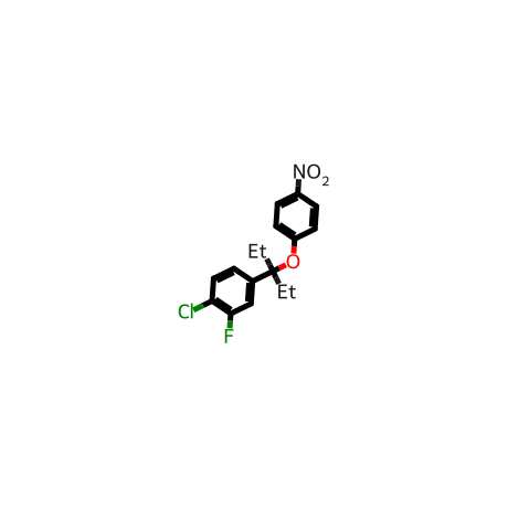 CCC(CC)(Oc1ccc([N+](=O)[O-])cc1)c1ccc(Cl)c(F)c1